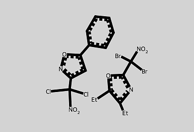 CCc1nc(C(Br)(Br)[N+](=O)[O-])oc1CC.O=[N+]([O-])C(Cl)(Cl)c1cc(-c2ccccc2)on1